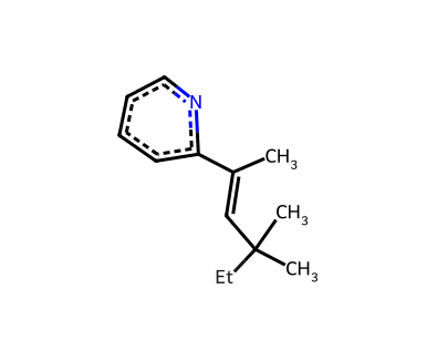 CCC(C)(C)/C=C(\C)c1ccccn1